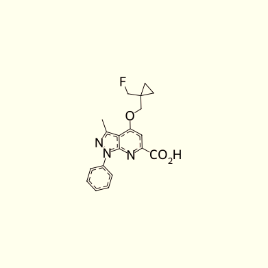 Cc1nn(-c2ccccc2)c2nc(C(=O)O)cc(OCC3(CF)CC3)c12